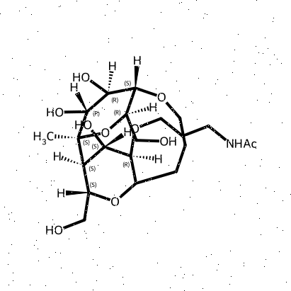 CC(=O)NCCCO[C@H]1C2CCCO[C@H]3[C@H](O)[C@@H](O)[C@@](C)(O[C@@H]3CO)[C@@H]([C@@H]1O)[C@@H](CO)O2